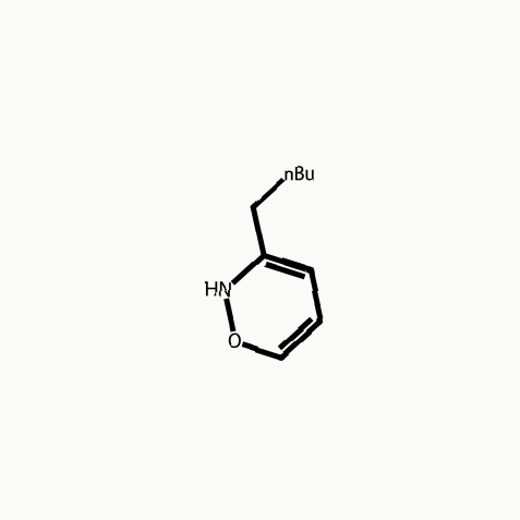 CCCCCC1=CC=CON1